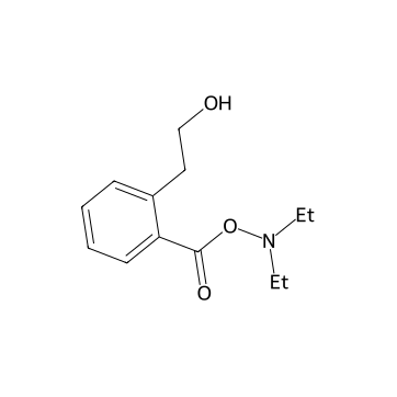 CCN(CC)OC(=O)c1ccccc1CCO